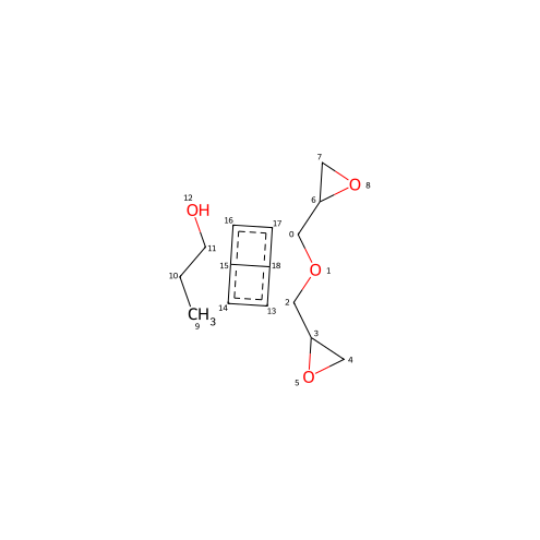 C(OCC1CO1)C1CO1.CCCO.c1cc2ccc1-2